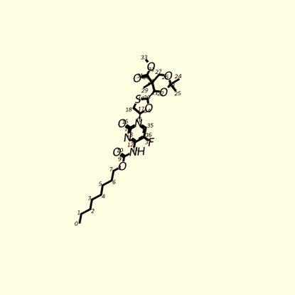 CCCCCCCCOC(=O)Nc1nc(=O)n([C@H]2CS[C@@H](C3OC(C)(C)OCC3(C)C(=O)OC)O2)cc1F